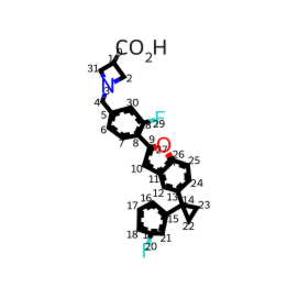 O=C(O)C1CN(Cc2ccc(-c3cc4cc(C5(c6cccc(F)c6)CC5)ccc4o3)c(F)c2)C1